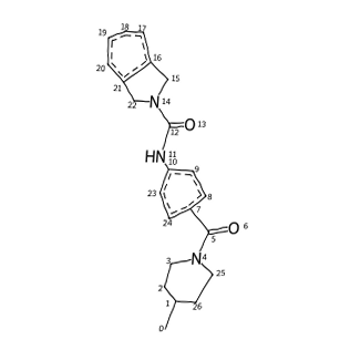 CC1CCN(C(=O)c2ccc(NC(=O)N3Cc4ccccc4C3)cc2)CC1